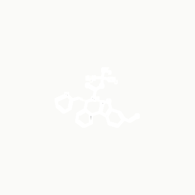 CC(C)(C)OC(=O)N[C@@H](Cc1ccccn1)c1ccccc1-c1noc2cc(C=O)ccc12